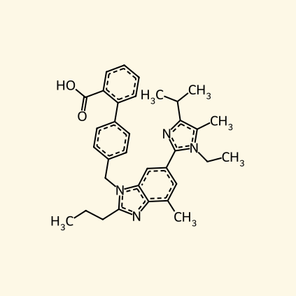 CCCc1nc2c(C)cc(-c3nc(C(C)C)c(C)n3CC)cc2n1Cc1ccc(-c2ccccc2C(=O)O)cc1